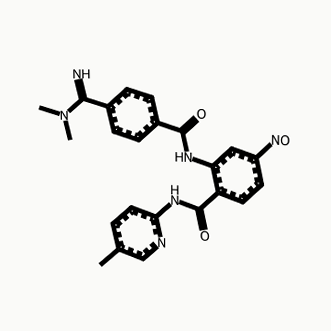 Cc1ccc(NC(=O)c2ccc(N=O)cc2NC(=O)c2ccc(C(=N)N(C)C)cc2)nc1